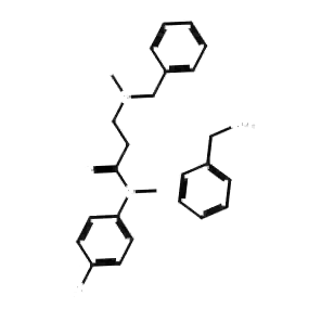 CN(CCC(=O)N(C)c1ccc([N+](=O)[O-])cc1)Cc1ccccc1.CNCc1ccccc1